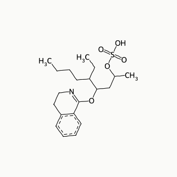 CCCCC(CC)C(CC(C)OS(=O)(=O)O)OC1=NCCc2ccccc21